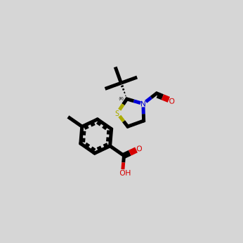 CC(C)(C)[C@H]1SCCN1C=O.Cc1ccc(C(=O)O)cc1